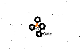 COc1ccccc1C1C=CC=CC1(OC)P(C1CCCCC1)C1CCCCC1